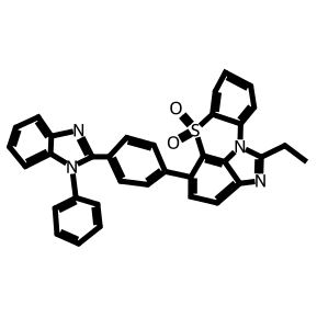 CCc1nc2ccc(-c3ccc(-c4nc5ccccc5n4-c4ccccc4)cc3)c3c2n1-c1ccccc1S3(=O)=O